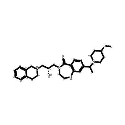 COC1CCN(C(C)c2ccc3c(c2)OCCN(C[C@H](O)CN2CCc4ccccc4C2)C3=O)CC1